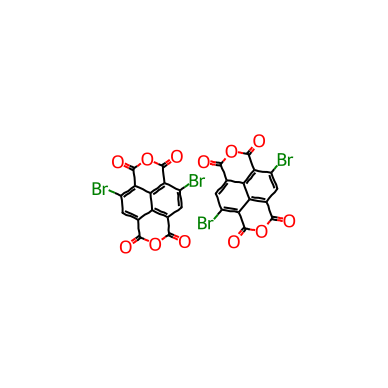 O=C1OC(=O)c2c(Br)cc3c4c(c(Br)cc1c24)C(=O)OC3=O.O=C1OC(=O)c2cc(Br)c3c4c(c(Br)cc1c24)C(=O)OC3=O